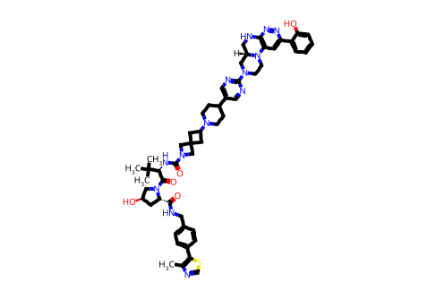 Cc1ncsc1-c1ccc(CNC(=O)[C@@H]2C[C@@H](O)CN2C(=O)[C@@H](NC(=O)N2CC3(CC(N4CCC(c5cnc(N6CCN7c8cc(-c9ccccc9O)nnc8NC[C@H]7C6)nc5)CC4)C3)C2)C(C)(C)C)cc1